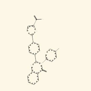 NC(=O)c1coc(-c2ccc(-c3nc4ccccc4c(=O)n3-c3ccc(Cl)cn3)cc2)n1